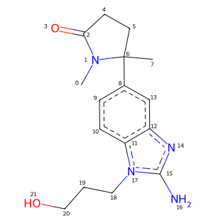 CN1C(=O)CCC1(C)c1ccc2c(c1)nc(N)n2CCCO